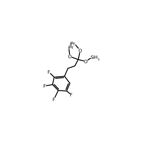 CC(C)OC(CCc1cc(F)c(F)c(F)c1F)(O[SiH3])OC(C)C